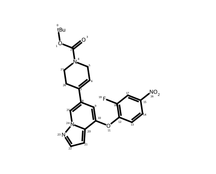 CC(C)(C)OC(=O)N1CC=C(c2cc(Oc3ccc([N+](=O)[O-])cc3F)c3ccnn3c2)CC1